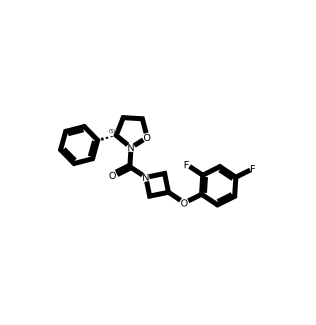 O=C(N1CC(Oc2ccc(F)cc2F)C1)N1OCC[C@H]1c1ccccc1